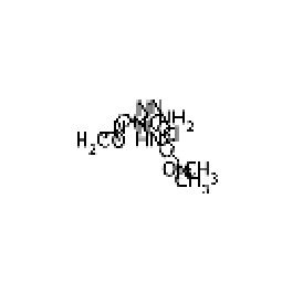 C=CC(=O)N1CCC[C@@H](n2nc(C(=O)Nc3ccc(CC(=O)N(C)C)cc3Cl)c3c(N)ncnc32)C1